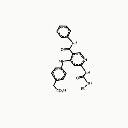 CCNC(=O)Nc1cc(Nc2ccc(CC(=O)O)cc2)c(C(=O)Nc2cccnc2)cn1